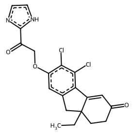 CCC12CCC(=O)C=C1c1c(cc(OCC(=O)c3ncc[nH]3)c(Cl)c1Cl)C2